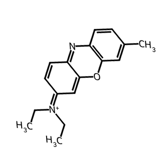 CC[N+](CC)=c1ccc2nc3ccc(C)cc3oc-2c1